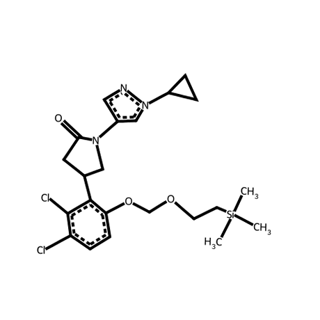 C[Si](C)(C)CCOCOc1ccc(Cl)c(Cl)c1C1CC(=O)N(c2cnn(C3CC3)c2)C1